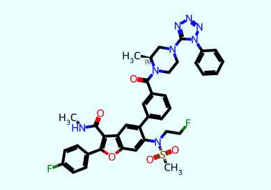 CNC(=O)c1c(-c2ccc(F)cc2)oc2cc(N(CCF)S(C)(=O)=O)c(-c3cccc(C(=O)N4CCN(c5nnnn5-c5ccccc5)C[C@@H]4C)c3)cc12